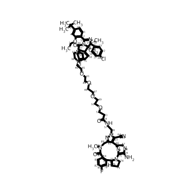 CCOc1cc(C(C)(C)C)ccc1C1=N[C@@](C)(c2ccc(Cl)cc2)[C@@](C)(c2ccc(Cl)cc2)N1C(=O)N1CCN(CCOCCOCCOCCOCCC(=O)NCCn2nc3c(c2C#N)-c2cnc(N)c(n2)N2CCC[C@@H]2c2cc(F)ccc2C(=O)N(C)C3)CC1